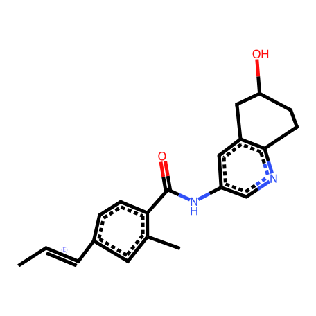 C/C=C/c1ccc(C(=O)Nc2cnc3c(c2)CC(O)CC3)c(C)c1